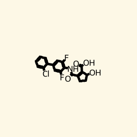 O=C(O)C1=C(C(=O)Nc2c(F)cc(-c3ccccc3Cl)cc2F)CCC1O